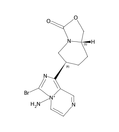 N[N+]12C=CN=CC1=C([C@@H]1CC[C@H]3COC(=O)N3C1)N=C2Br